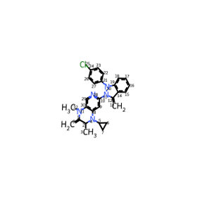 C=C1C(C)N(C2CC2)c2cc(N3C(=C)c4ccccc4N3c3ccc(Cl)cc3)ncc2N1C